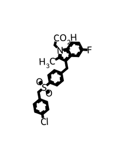 Cc1c(Cc2ccc(S(=O)(=O)Cc3ccc(Cl)cc3)cc2)c2cc(F)ccc2n1CC(=O)O